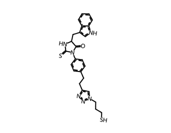 O=C1C(Cc2c[nH]c3ccccc23)NC(=S)N1c1ccc(CCc2cn(CCCS)nn2)cc1